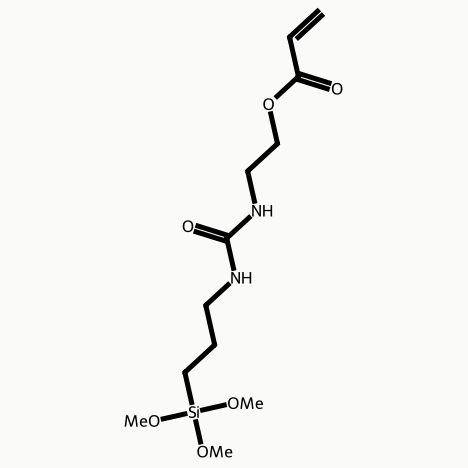 C=CC(=O)OCCNC(=O)NCCC[Si](OC)(OC)OC